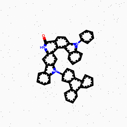 O=c1[nH]c2cc3c4ccccc4n(-c4ccc5c6ccccc6c6ccccc6c5c4)c3cc2c2c1ccc1c2c2ccccc2n1-c1ccccc1